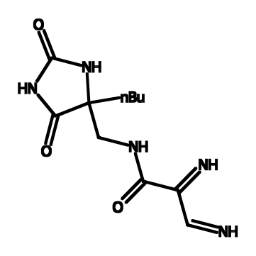 CCCCC1(CNC(=O)C(=N)C=N)NC(=O)NC1=O